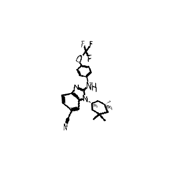 C[C@H]1C[C@@H](n2c(Nc3ccc(OC(F)(F)F)cc3)nc3ccc(C#N)cc32)CC(C)(C)C1